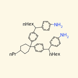 CCCCCCC(c1ccc(N)cc1)c1ccc(C2(c3ccc(C(CCCCCC)c4ccc(N)cc4)cc3)CCC(CCC)CC2)cc1